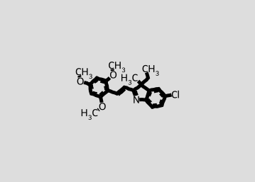 CCC1(C)C(/C=C/c2c(OC)cc(OC)cc2OC)=Nc2ccc(Cl)cc21